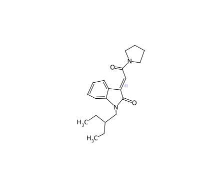 CCC(CC)CN1C(=O)/C(=C/C(=O)N2CCCC2)c2ccccc21